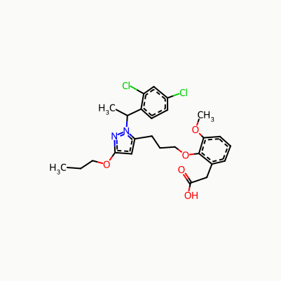 CCCOc1cc(CCCOc2c(CC(=O)O)cccc2OC)n(C(C)c2ccc(Cl)cc2Cl)n1